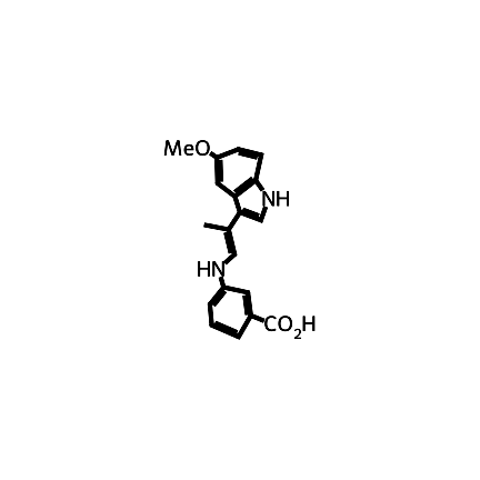 COc1ccc2[nH]cc(/C(C)=C/Nc3cccc(C(=O)O)c3)c2c1